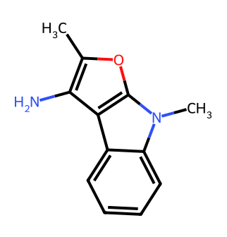 Cc1oc2c(c1N)c1ccccc1n2C